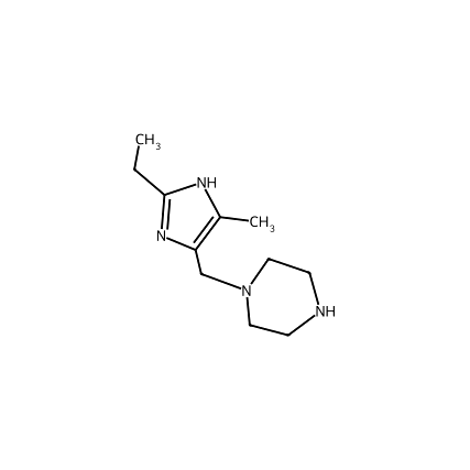 CCc1nc(CN2CCNCC2)c(C)[nH]1